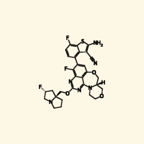 N#Cc1c(N)sc2c(F)ccc(-c3cc4c5c(nc(OC[C@@]67CCCN6C[C@H](F)C7)nc5c3F)N3CCOC[C@H]3CO4)c12